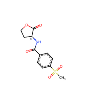 CS(=O)(=O)c1ccc(C(=O)N[C@H]2CCOC2=O)cc1